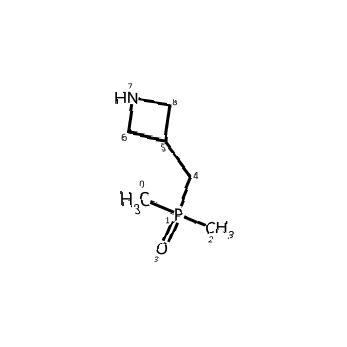 CP(C)(=O)CC1CNC1